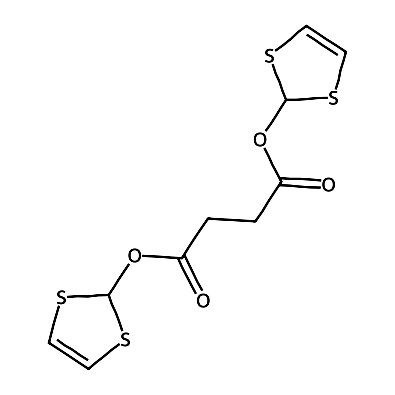 O=C(CCC(=O)OC1SC=CS1)OC1SC=CS1